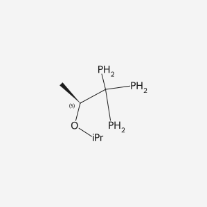 CC(C)O[C@@H](C)C(P)(P)P